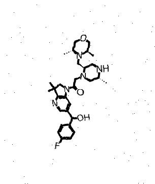 C[C@@H]1CN(CC(=O)N2CC(C)(C)c3ncc(C(O)c4ccc(F)cc4)cc32)[C@@H](CN2[C@H](C)COC[C@H]2C)CN1